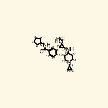 Cl.Cl.O=C(NC1CCCC1)c1cccc([C@@H]2C[C@H]2NC2CCN(C3CC3)CC2)c1